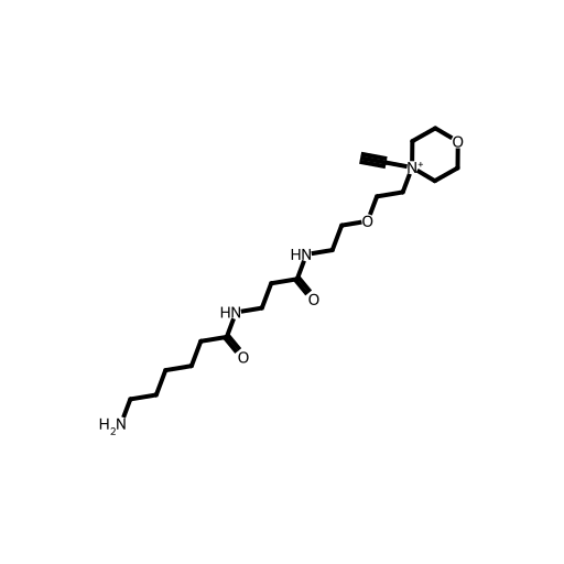 C#C[N+]1(CCOCCNC(=O)CCNC(=O)CCCCCN)CCOCC1